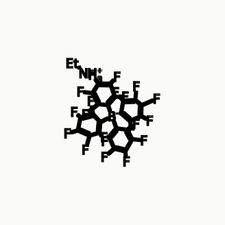 CC[NH3+].Fc1c(F)c(F)c([B-](c2c(F)c(F)c(F)c(F)c2F)(c2c(F)c(F)c(F)c(F)c2F)c2c(F)c(F)c(F)c(F)c2F)c(F)c1F